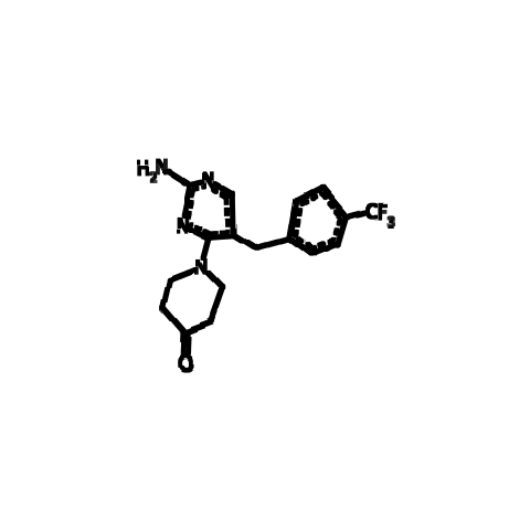 Nc1ncc(Cc2ccc(C(F)(F)F)cc2)c(N2CCC(=O)CC2)n1